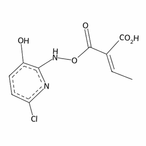 CC=C(C(=O)O)C(=O)ONc1nc(Cl)ccc1O